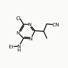 CCNc1nc(Cl)nc(C(C)CC#N)n1